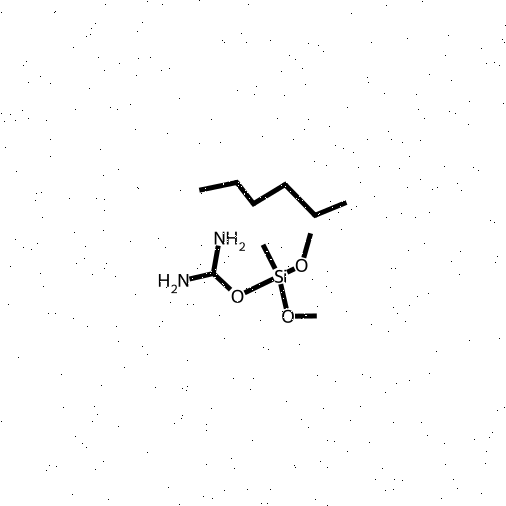 CCCCCC.CO[Si](C)(OC)OC(N)N